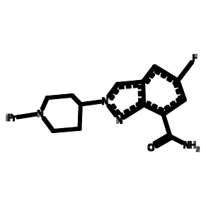 CC(C)N1CCC(n2cc3cc(F)cc(C(N)=O)c3n2)CC1